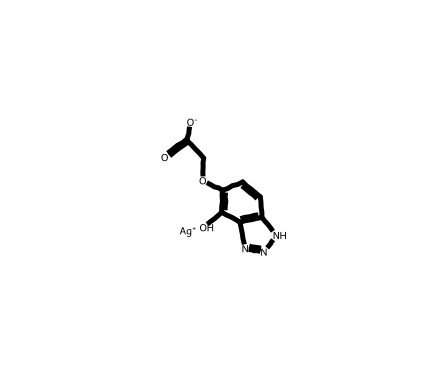 O=C([O-])COc1ccc2[nH]nnc2c1O.[Ag+]